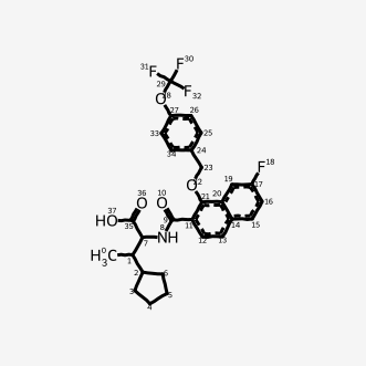 CC(C1CCCC1)C(NC(=O)c1ccc2ccc(F)cc2c1OCc1ccc(OC(F)(F)F)cc1)C(=O)O